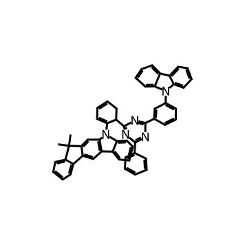 CC1(C)c2ccccc2-c2cc3c4ccccc4n(C4=CC=CCC4c4nc(-c5ccccc5)nc(-c5cccc(-n6c7ccccc7c7ccccc76)c5)n4)c3cc21